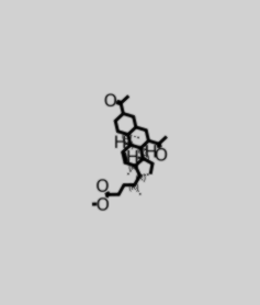 COC(=O)CC[C@@H](C)[C@H]1CC[C@H]2[C@@H]3C(C(C)=O)CC4CC(C(C)=O)CC[C@]4(C)[C@H]3C=C[C@]12C